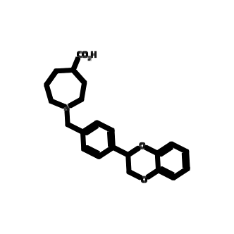 O=C(O)C1CCCN(Cc2ccc(C3COc4ccccc4O3)cc2)CC1